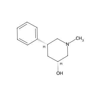 CN1C[C@H](O)C[C@H](c2ccccc2)C1